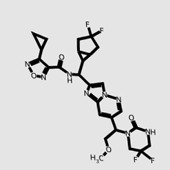 COCC(c1cnn2cc(C(NC(=O)c3nonc3C3CC3)C3C4CC(F)(F)CC43)nc2c1)N1CC(F)(F)CNC1=O